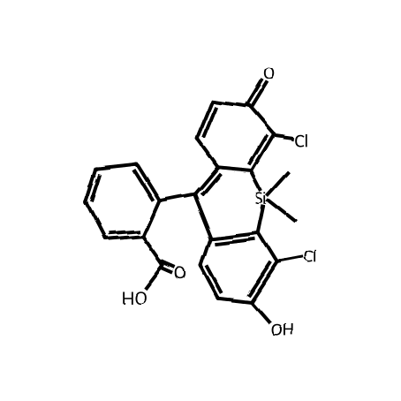 C[Si]1(C)C2=C(Cl)C(=O)C=CC2=C(c2ccccc2C(=O)O)c2ccc(O)c(Cl)c21